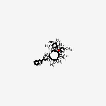 CC[C@H]1OC(=O)[C@H](C)[C@@H](O[C@H]2C[C@@](C)(OC)[C@@H](O)[C@H](C)O2)[C@H](C)[C@@H](O[C@@H]2O[C@H](C)C[C@H](N(C)C(C)(C)C)[C@H]2O)[C@](C)(OC)C[C@@H](C)C(=O)[C@H](C)[C@@H](OC/C=C/c2cnc3ccccc3c2)[C@]1(C)O